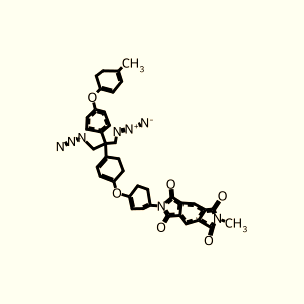 CC1=CC=C(Oc2ccc(C(CN=[N+]=[N-])(CN=[N+]=[N-])C3=CC=C(OC4=CC=C(n5c(=O)c6cc7c(=O)n(C)c(=O)c7cc6c5=O)CC4)CC3)cc2)CC1